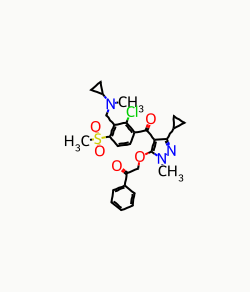 CN(Cc1c(S(C)(=O)=O)ccc(C(=O)c2c(C3CC3)nn(C)c2OCC(=O)c2ccccc2)c1Cl)C1CC1